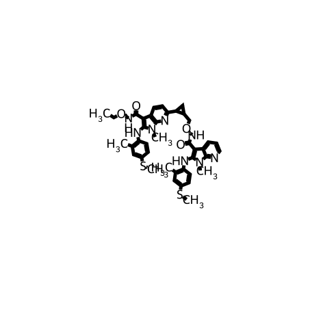 CCONC(=O)c1c(Nc2ccc(SC)cc2C)n(C)c2nc(C3CC3CONC(=O)c3c(Nc4ccc(SC)cc4C)n(C)c4ncccc34)ccc12